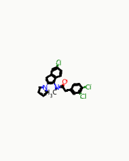 CN(C(=O)Cc1ccc(Cl)c(Cl)c1)[C@@H]1c2ccc(Cl)cc2C[C@H]1N1CCCC1